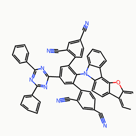 N#Cc1ccc(-c2cc(-c3nc(-c4ccccc4)nc(-c4ccccc4)n3)cc(-c3ccc(C#N)cc3C#N)c2-n2c3ccccc3c3c4oc5ccccc5c4ccc32)c(C#N)c1